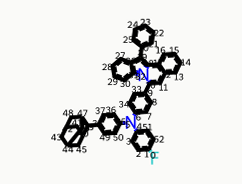 Fc1ccc(N(c2ccc(-c3cc4ccccc4c4c(-c5ccccc5)c5ccccc5n34)cc2)c2ccc(C3C4CC5CC(C4)CC3C5)cc2)cc1